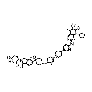 CC(=O)c1c(C)c2cnc(Nc3ccc(C4CCN(c5ccc(CN6CCC(O)(c7ccc8c(c7)CN(C7CCC(=O)NC7=O)C8=O)CC6)nc5)CC4)cn3)nc2n(C2CCCC2)c1=O